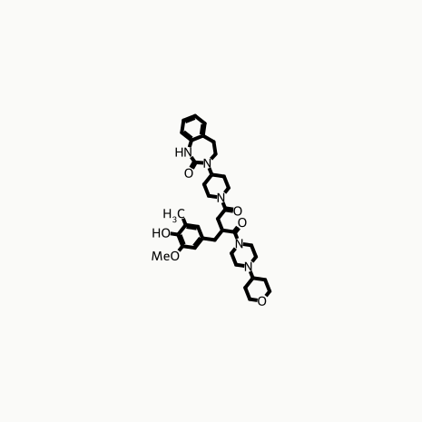 COc1cc(CC(CC(=O)N2CCC(N3CCc4ccccc4NC3=O)CC2)C(=O)N2CCN(C3CCOCC3)CC2)cc(C)c1O